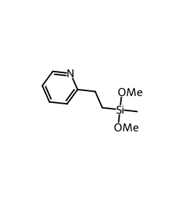 CO[Si](C)(CCc1ccccn1)OC